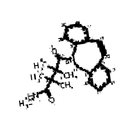 CNC(=O)C(C)(C)C(C)(C)C(=O)N1Cc2ccccc2C#Cc2ccccc21